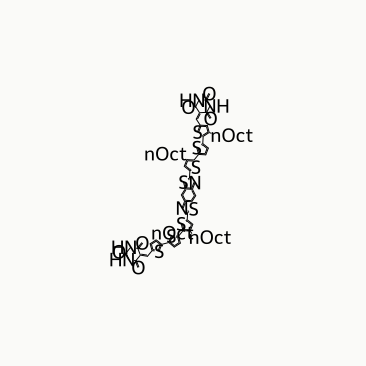 CCCCCCCCc1cc(C=C2C(=O)NC(=O)NC2=O)sc1-c1ccc(-c2sc(-c3nc4cc5sc(-c6cc(CCCCCCCC)c(-c7ccc(-c8sc(C=C9C(=O)NC(=O)NC9=O)cc8CCCCCCCC)s7)s6)nc5cc4s3)cc2CCCCCCCC)s1